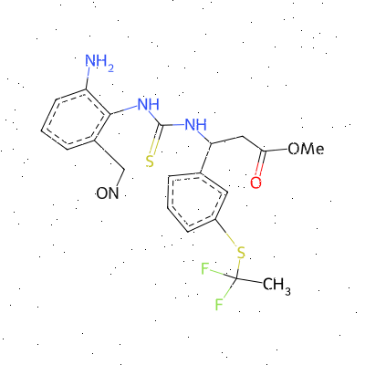 COC(=O)CC(NC(=S)Nc1c(N)cccc1CN=O)c1cccc(SC(C)(F)F)c1